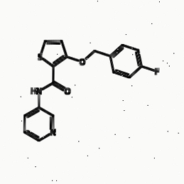 O=C(Nc1cccnc1)c1sccc1OCc1ccc(F)cc1